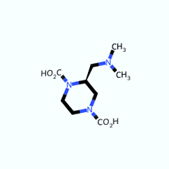 CN(C)C[C@H]1CN(C(=O)O)CCN1C(=O)O